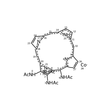 CC(=O)Nc1c(NC(C)=O)c2c(NC(C)=O)c3nc(cc4ccc(cc5nc(cc1n2NC(C)=O)C=C5)[nH]4)C=C3.[Co]